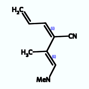 C=C/C=C(C#N)\C(C)=C\NC